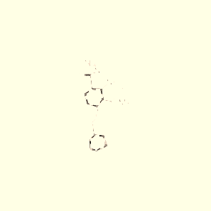 COc1c(OCc2ccccc2)ccc(C(=O)NC#N)c1[N+](=O)[O-]